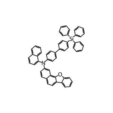 c1ccc([Si](c2ccccc2)(c2ccccc2)c2ccc(-c3ccc(N(c4ccc5ccc6c7ccccc7oc6c5c4)c4cccc5ccccc45)cc3)cc2)cc1